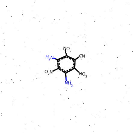 N#Cc1c([N+](=O)[O-])c(N)c([N+](=O)[O-])c(N)c1[N+](=O)[O-]